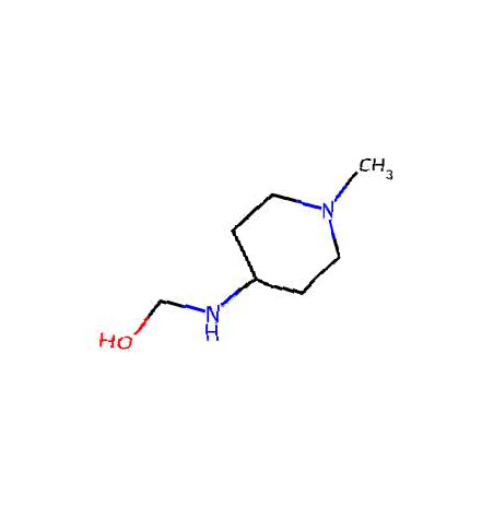 CN1CCC(NCO)CC1